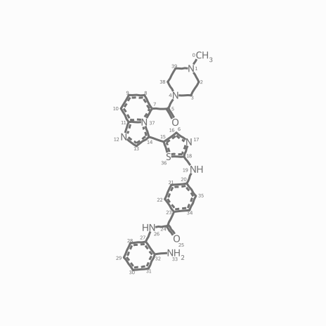 CN1CCN(C(=O)c2cccc3ncc(-c4cnc(Nc5ccc(C(=O)Nc6ccccc6N)cc5)s4)n23)CC1